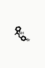 Cc1c(Cc2ccc(Br)cc2)[nH]c2ccccc12